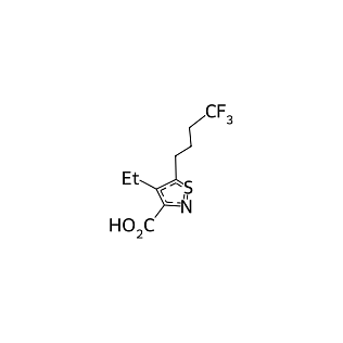 CCc1c(C(=O)O)nsc1CCCC(F)(F)F